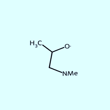 CNCC(C)[O]